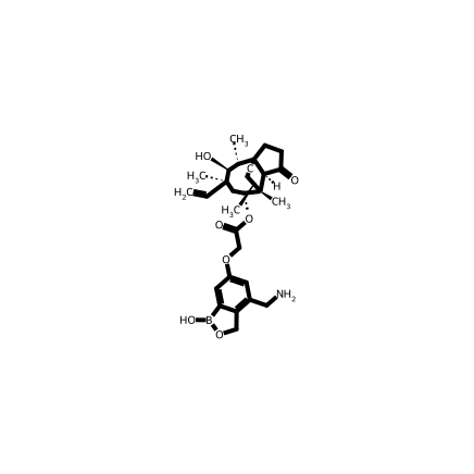 C=C[C@]1(C)C[C@@H](OC(=O)COc2cc(CN)c3c(c2)B(O)OC3)[C@]2(C)[C@H](C)CC[C@]3(CCC(=O)[C@H]32)[C@@H](C)[C@@H]1O